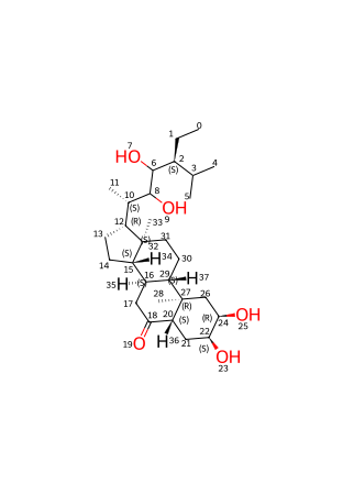 CC[C@@H](C(C)C)C(O)C(O)[C@@H](C)[C@H]1CC[C@H]2[C@@H]3CC(=O)[C@H]4C[C@H](O)[C@H](O)C[C@]4(C)[C@H]3CC[C@]12C